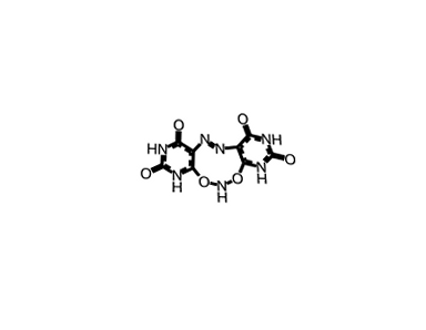 O=c1[nH]c2c(c(=O)[nH]1)/N=N/c1c([nH]c(=O)[nH]c1=O)ONO2